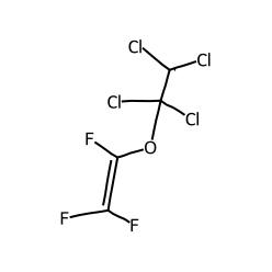 FC(F)=C(F)OC(Cl)(Cl)[C](Cl)Cl